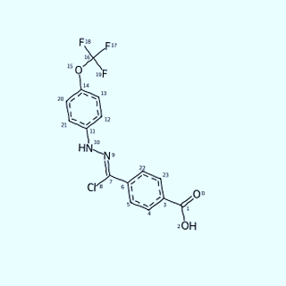 O=C(O)c1ccc(C(Cl)=NNc2ccc(OC(F)(F)F)cc2)cc1